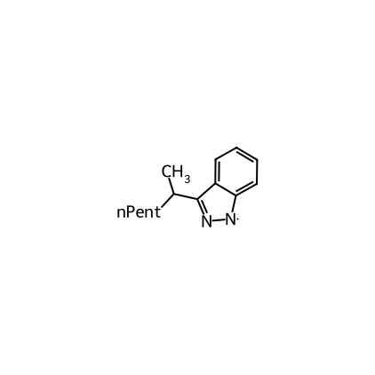 CCCCCC(C)C1=N[N]c2ccccc21